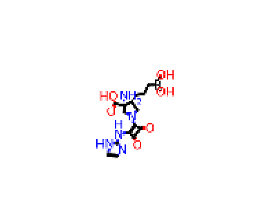 N[C@@]1(C(=O)O)CN(c2c(Nc3ncc[nH]3)c(=O)c2=O)C[C@@H]1CCCB(O)O